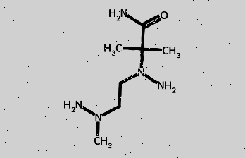 CN(N)CCN(N)C(C)(C)C(N)=O